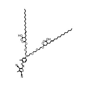 CCCCCCCCCCC/C=C/CC(CC(=O)OCCOCCOCCN(CCOCCOC(=O)CC(C/C=C/CCCCCCCCCCC)C(=O)O)c1ccc(/N=N/c2sc(C#N)c(C)c2C#N)c(C)c1)C(=O)O